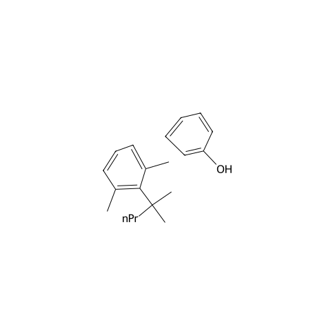 CCCC(C)(C)c1c(C)cccc1C.Oc1ccccc1